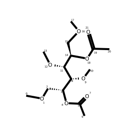 COC[C@@H](OC(C)=O)[C@@H](OC)[C@H](OC)[C@@H](COC)OC(C)=O